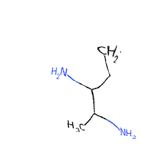 [CH2]CC(N)C(C)N